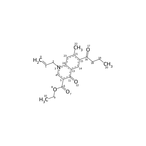 C=CCn1cc(C(=O)OCC)c(=O)c2cc(C(=O)CCC)c(C)cc21